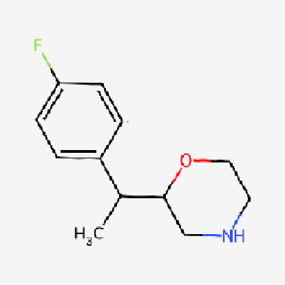 CC(c1[c]cc(F)cc1)C1CNCCO1